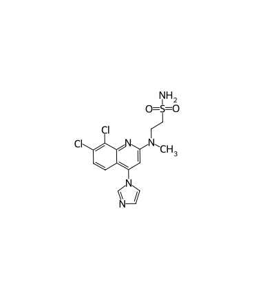 CN(CCS(N)(=O)=O)c1cc(-n2ccnc2)c2ccc(Cl)c(Cl)c2n1